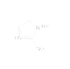 Br.O=[N+]([O-])c1ncc[nH]1